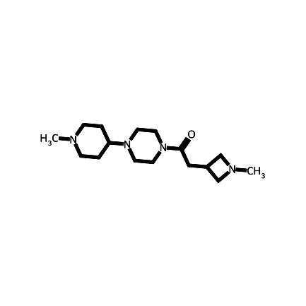 CN1CCC(N2CCN(C(=O)CC3CN(C)C3)CC2)CC1